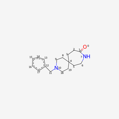 O=C1CCC2(CCN1)CCN(Cc1ccccc1)CC2